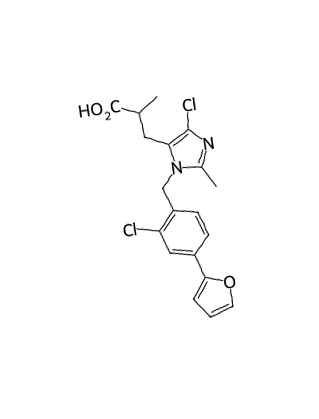 Cc1nc(Cl)c(CC(C)C(=O)O)n1Cc1ccc(-c2ccco2)cc1Cl